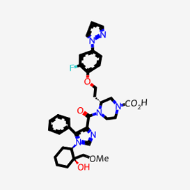 COC[C@]1(O)CCCC[C@H]1n1cnc(C(=O)N2CCN(C(=O)O)C[C@H]2CCOc2ccc(-n3cccn3)cc2F)c1-c1ccccc1